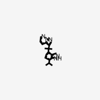 CC(C)c1ccc(C(C)(C)c2cnn3ncccc23)c2cn[nH]c12